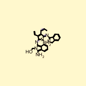 BN1/C(=N\c2c3ccccc3c(N)n2CO)C(C=C)=C(/C=C\C)/C1=N/C1=NCc2ccccc21